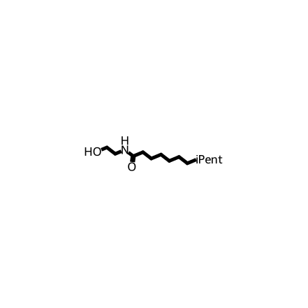 CCCC(C)CCCCCCC(=O)NCCO